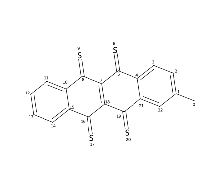 Cc1ccc2c(=S)c3c(=S)c4ccccc4c(=S)c=3c(=S)c2c1